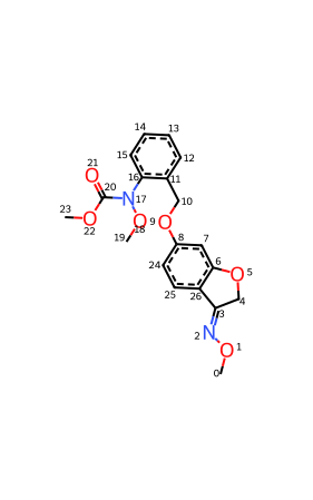 CON=C1COc2cc(OCc3ccccc3N(OC)C(=O)OC)ccc21